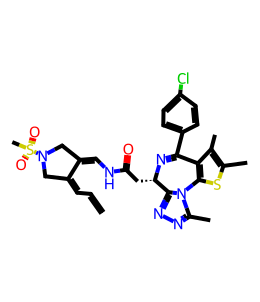 C=C/C=C1/CN(S(C)(=O)=O)C/C1=C/NC(=O)C[C@@H]1N=C(c2ccc(Cl)cc2)c2c(sc(C)c2C)-n2c(C)nnc21